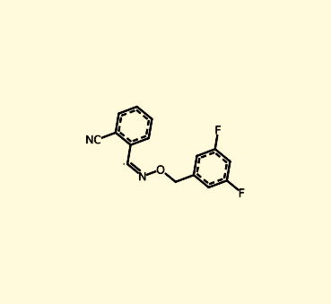 N#Cc1ccccc1/[C]=N\OCc1cc(F)cc(F)c1